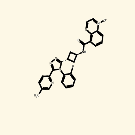 Cc1ccc(-c2nnc([C@H]3C[C@H](NC(=O)c4cccc5c4ncc[n+]5[O-])C3)n2-c2ccccc2F)nc1